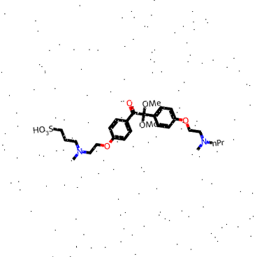 CCCN(C)CCOc1ccc(C(OC)(OC)C(=O)c2ccc(OCCN(C)CCCS(=O)(=O)O)cc2)cc1